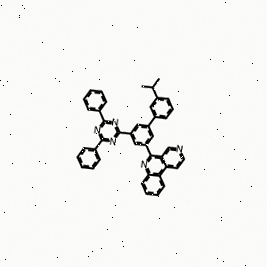 CC(C)c1cccc(-c2cc(-c3nc(-c4ccccc4)nc(-c4ccccc4)n3)cc(-c3nc4ccccc4c4ccncc34)c2)c1